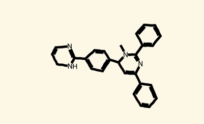 CN1C(c2ccccc2)=NC(c2ccccc2)=CC1c1ccc(C2=NC=CCN2)cc1